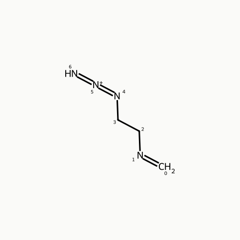 C=NCCN=[N+]=N